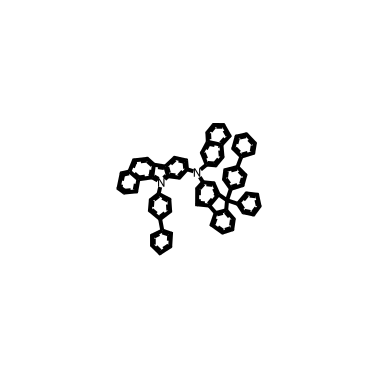 c1ccc(-c2ccc(-n3c4cc(N(c5ccc6c(c5)C(c5ccccc5)(c5ccc(-c7ccccc7)cc5)c5ccccc5-6)c5ccc6ccccc6c5)ccc4c4ccc5ccccc5c43)cc2)cc1